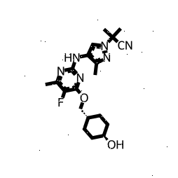 Cc1nn(C(C)(C)C#N)cc1Nc1nc(C)c(F)c(OC[C@H]2CC[C@H](O)CC2)n1